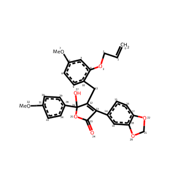 C=CCOc1cc(OC)ccc1CC1=C(c2ccc3c(c2)OCO3)C(=O)OC1(O)c1ccc(OC)cc1